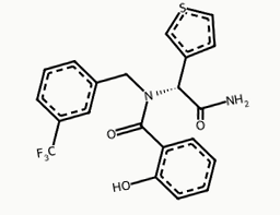 NC(=O)[C@@H](c1ccsc1)N(Cc1cccc(C(F)(F)F)c1)C(=O)c1ccccc1O